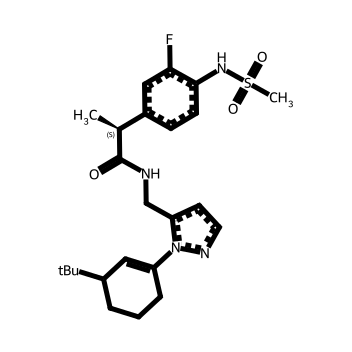 C[C@H](C(=O)NCc1ccnn1C1=CC(C(C)(C)C)CCC1)c1ccc(NS(C)(=O)=O)c(F)c1